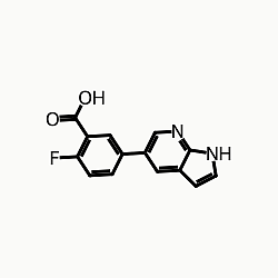 O=C(O)c1cc(-c2cnc3[nH]ccc3c2)ccc1F